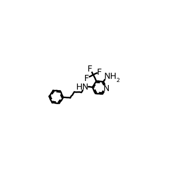 Nc1nccc(NCCCc2ccccc2)c1C(F)(F)F